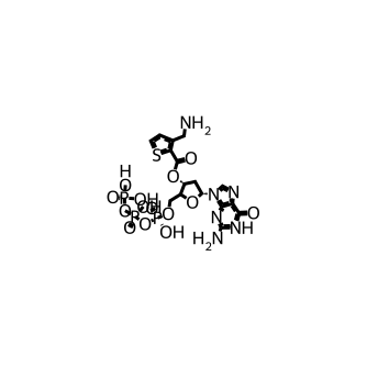 NCc1ccsc1C(=O)O[C@@H]1C[C@H](n2cnc3c(=O)[nH]c(N)nc32)OC1COP(=O)(O)OP(=O)(O)OP(=O)(O)O